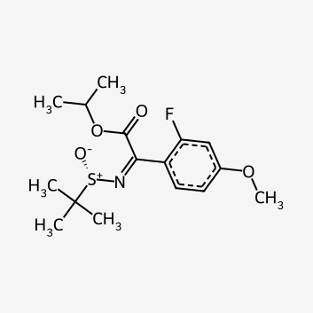 COc1ccc(C(=N[S@@+]([O-])C(C)(C)C)C(=O)OC(C)C)c(F)c1